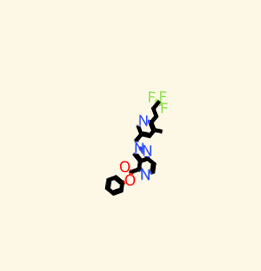 Cc1cc(Cn2cc3c(C(=O)Oc4ccccc4)nccc3n2)cnc1CCC(F)(F)F